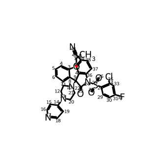 CCOc1ccccc1C1(N2CCN(c3ccncc3)CC2)C(=O)N(S(=O)(=O)c2ccc(F)cc2Cl)c2ccc(C#N)cc21